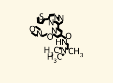 CCN(CC)C(C)CNC(=O)c1cc(OCCN2CCOCC2)nc(-c2cnn3ccc(-c4cccs4)nc23)c1